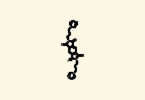 O=c1c2cc3c(=O)n(CCCn4ccnc4)c(=O)c3cc2c(=O)n1CCCn1ccnc1